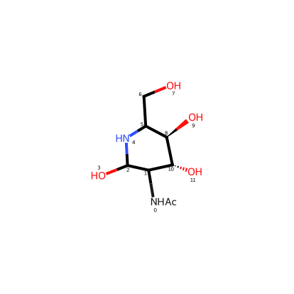 CC(=O)NC1C(O)NC(CO)[C@@H](O)[C@@H]1O